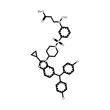 COC(=O)CCN(C=O)c1cccc(S(=O)(=O)N2CCC(n3c(C4CC4)nc4ccc(C(c5ccc(Cl)cc5)c5ccc(Cl)cc5)cc43)CC2)c1